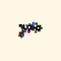 Cc1sc(-c2ncco2)nc1N1CCc2[nH]c(-c3c(F)cccc3F)cc2C1=O